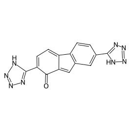 O=C1C2=Cc3cc(-c4nnn[nH]4)ccc3C2=CC=C1c1nnn[nH]1